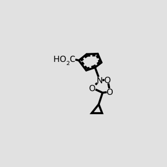 O=C(O)c1cccc(N2OOC(C3CC3)O2)c1